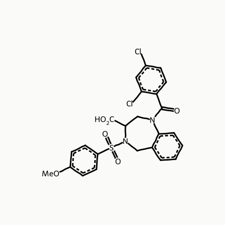 COc1ccc(S(=O)(=O)N2Cc3ccccc3N(C(=O)c3ccc(Cl)cc3Cl)CC2C(=O)O)cc1